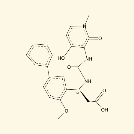 COc1ccc(-c2ccccc2)cc1[C@H](CC(=O)O)NC(=O)Nc1c(O)ccn(C)c1=O